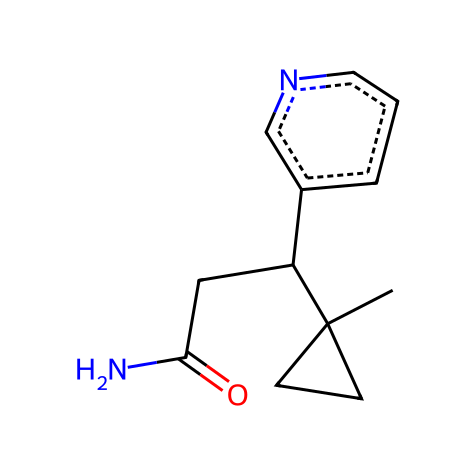 CC1(C(CC(N)=O)c2cccnc2)CC1